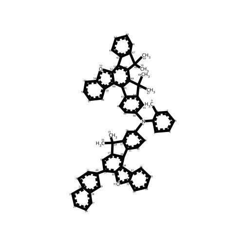 Cc1ccccc1N(c1ccc2c(c1)C(C)(C)c1cc(-c3ccc4ccccc4c3)c3oc4ccccc4c3c1-2)c1ccc2c(c1)C(C)(C)c1c3c(c4oc5ccccc5c4c1-2)-c1ccccc1C3(C)C